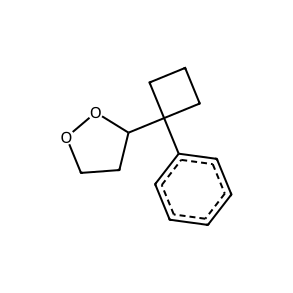 c1ccc(C2(C3CCOO3)CCC2)cc1